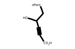 CCCCCCC(O)C#CC(=O)O